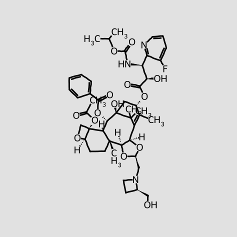 CC(=O)O[C@@]12CO[C@@H]1CC[C@@]1(C)[C@@H]3O[C@H](CN4CC[C@@H]4CO)O[C@@H]3C3=C(C)[C@@H](OC(=O)[C@H](O)[C@@H](NC(=O)OC(C)C)c4ncccc4F)C[C@@](O)([C@@H](OC(=O)c4ccccc4)[C@@H]12)C3(C)C